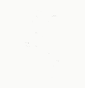 CNC(=O)C1C(NC(=O)/C(=N\OC)c2csc(NC(=O)CCl)n2)C(=O)N1S(=O)(=O)O.[NaH]